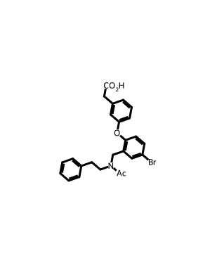 CC(=O)N(CCc1ccccc1)Cc1cc(Br)ccc1Oc1cccc(CC(=O)O)c1